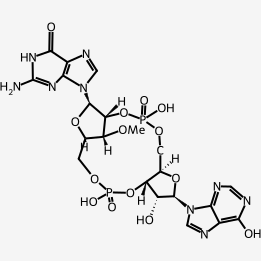 CO[C@H]1[C@H]2OP(=O)(O)OC[C@H]3O[C@@H](n4cnc5c(O)ncnc54)[C@H](O)[C@@H]3OP(=O)(O)OC[C@H]1O[C@H]2n1cnc2c(=O)[nH]c(N)nc21